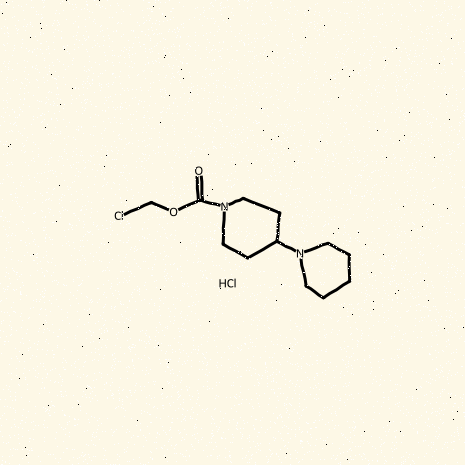 Cl.O=C(OCCl)N1CCC(N2CCCCC2)CC1